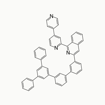 c1ccc(-c2cc(-c3ccccc3)cc(-c3cccc(-c4cccc(-c5cc6ccccc6c(-c6cc(-c7ccncc7)ccn6)n5)c4)c3)c2)cc1